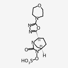 O=C1N2C[C@@H](CC[C@H]2c2nnc(N3CCOCC3)o2)N1OS(=O)(=O)O